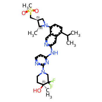 CC(C)c1ccc(N2C[C@H](CS(C)(=O)=O)[C@H]2C)c2cnc(Nc3ccnc(N4CC[C@](C)(O)C(F)(F)C4)n3)cc12